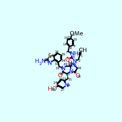 C#CCN(C(=O)NCc1ccc(OC)cc1)N1CC(=O)N2[C@@H](Cc3ccc(O)cn3)C(=O)N(Cc3cccc4sc(N)nc34)C[C@@H]21